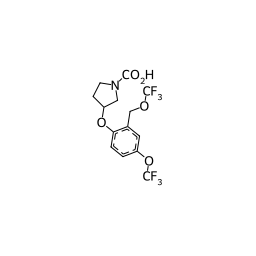 O=C(O)N1CCC(Oc2ccc(OC(F)(F)F)cc2COC(F)(F)F)C1